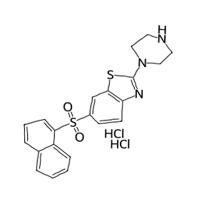 Cl.Cl.O=S(=O)(c1ccc2nc(N3CCNCC3)sc2c1)c1cccc2ccccc12